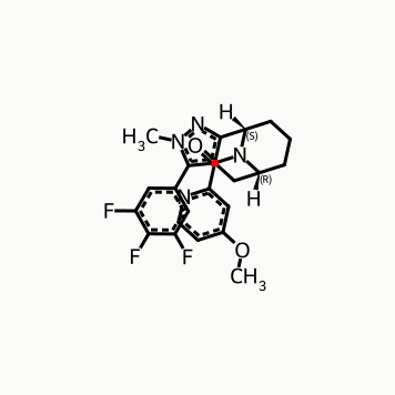 COc1ccnc(C(=O)N2[C@@H]3CCC[C@H]2c2nn(C)c(-c4cc(F)c(F)c(F)c4)c2C3)c1